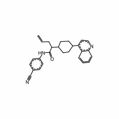 C=CCC(C(=O)Nc1ccc(C#N)cc1)C1CCC(c2ccnc3c2C=C=C=C3)CC1